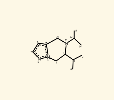 CC(C)C1Cn2nccc2CN1C(C)C